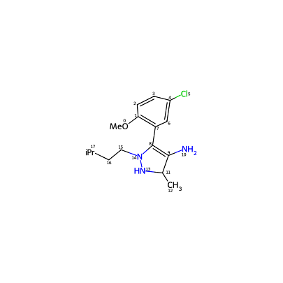 COc1ccc(Cl)cc1C1=C(N)C(C)NN1CCC(C)C